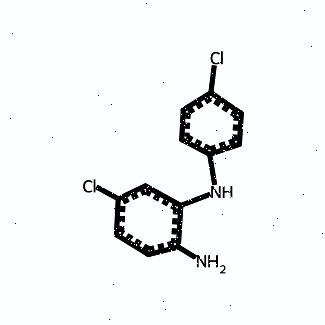 Nc1ccc(Cl)cc1Nc1ccc(Cl)cc1